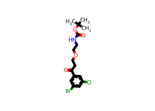 CC(C)(C)OC(=O)NCCOCCC(=O)c1cc(Cl)cc(Br)c1